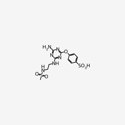 CS(=O)(=O)NCCNc1nc(N)nc(Oc2ccc(S(=O)(=O)O)cc2)n1